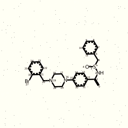 C=C(N[S+]([O-])Cc1ccccc1)c1ccc(N2CCN(Cc3ccccc3Br)CC2)cc1